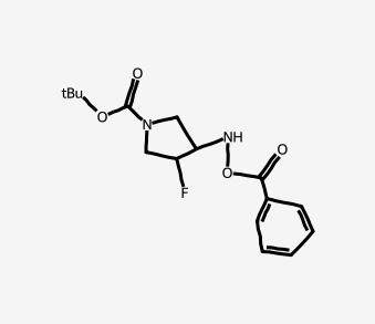 CC(C)(C)OC(=O)N1CC(F)C(NOC(=O)c2ccccc2)C1